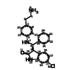 NCCc1ccc(N/C(=C2\C(=O)Nc3cc(Cl)ccc32)c2ccccc2)cc1